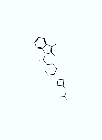 Cc1c(C(=O)O)c2cccnc2n1[C@H](C)[C@H]1CC[C@@H](N2CC(OC(F)F)C2)CC1